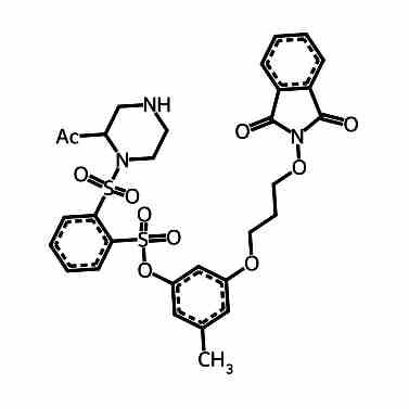 CC(=O)C1CNCCN1S(=O)(=O)c1ccccc1S(=O)(=O)Oc1cc(C)cc(OCCCON2C(=O)c3ccccc3C2=O)c1